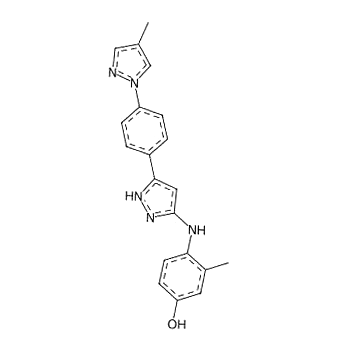 Cc1cnn(-c2ccc(-c3cc(Nc4ccc(O)cc4C)n[nH]3)cc2)c1